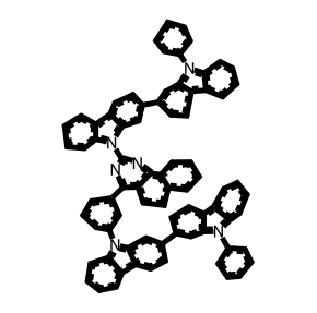 c1ccc(-n2c3ccccc3c3ccc(-c4ccc5c6ccccc6n(-c6cccc(-c7nc(-n8c9ccccc9c9ccc(-c%10ccc%11c%12ccccc%12n(-c%12ccccc%12)c%11c%10)cc98)nc8c7ccc7ccccc78)c6)c5c4)cc32)cc1